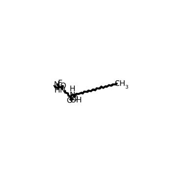 CCC=CCC=CCC=CCC=CCC=CCC=CCCC(=O)NC(CCCCNC(=O)c1cccnc1F)C(=O)O